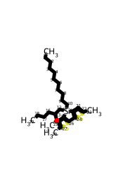 CCCCCCCCCCC[Si]1(CC(CC)CCCC)c2cc(C)sc2-c2sc(C)cc21